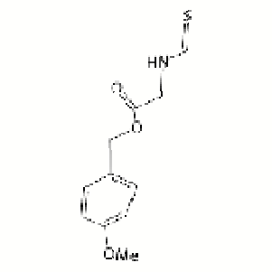 COc1ccc(COC(=O)CNC=S)cc1